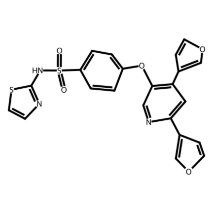 O=S(=O)(Nc1nccs1)c1ccc(Oc2cnc(-c3ccoc3)cc2-c2ccoc2)cc1